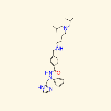 CC(C)CN(CCCCNCc1ccc(C(=O)NN(Cc2ncc[nH]2)c2ccccc2)cc1)CC(C)C